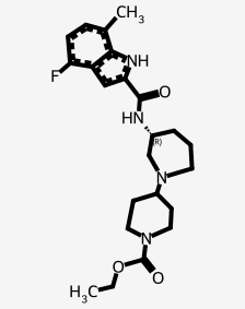 CCOC(=O)N1CCC(N2CCC[C@@H](NC(=O)c3cc4c(F)ccc(C)c4[nH]3)C2)CC1